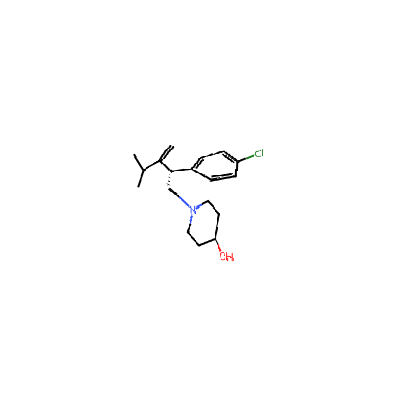 C=C(C(C)C)[C@@H](CN1CCC(O)CC1)c1ccc(Cl)cc1